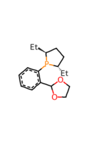 CC[C@H]1CC[C@H](CC)P1c1ccccc1C1OCCO1